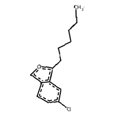 [CH2]CCCCCc1occ2ccc(Cl)cc12